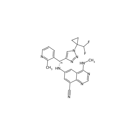 CNc1ncnc2c(C#N)cc(N[C@@H](c3cn(C4(C(F)F)CC4)nn3)c3cccnc3C)cc12